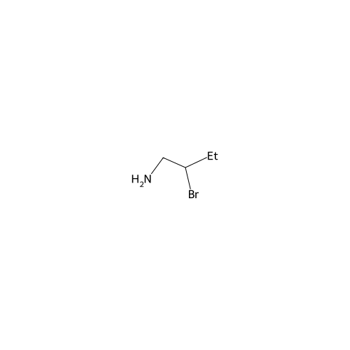 CCC(Br)CN